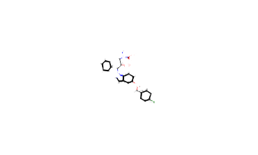 CN(C[C@@H](O)[C@H](c1ccccc1)n1ccc2cc(OCc3ccc(Cl)cc3)ccc21)C(=O)O